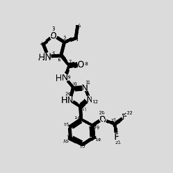 CCC1OCNC1C(=O)Nc1nnc(-c2ccccc2OC(F)F)[nH]1